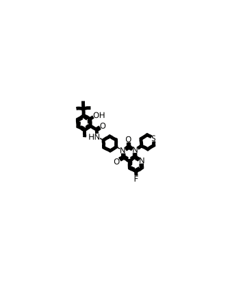 Cc1ccc(C(C)(C)C)c(O)c1C(=O)N[C@H]1CC[C@@H](n2c(=O)c3cc(F)cnc3n(C3CCSCC3)c2=O)CC1